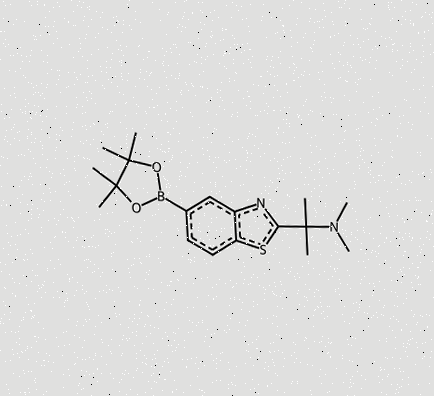 CN(C)C(C)(C)c1nc2cc(B3OC(C)(C)C(C)(C)O3)ccc2s1